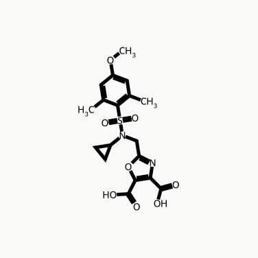 COc1cc(C)c(S(=O)(=O)N(Cc2nc(C(=O)O)c(C(=O)O)o2)C2CC2)c(C)c1